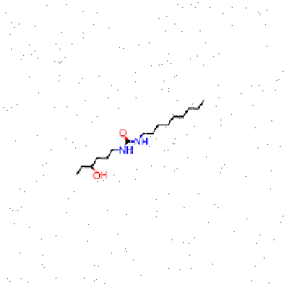 CCCCCCCCCNC(=O)NCCCC(O)CC